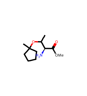 COC(=O)[C@@H](N)C(C)OC1(C)CCCC1